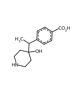 CC(c1ccc(C(=O)O)cc1)C1(O)CCNCC1